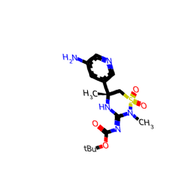 CN1/C(=N/C(=O)OC(C)(C)C)N[C@](C)(c2cncc(N)c2)CS1(=O)=O